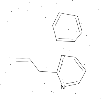 C=CCc1ccccn1.c1ccccc1